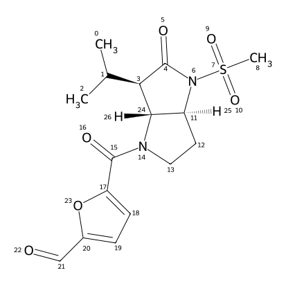 CC(C)[C@H]1C(=O)N(S(C)(=O)=O)[C@H]2CCN(C(=O)c3ccc(C=O)o3)[C@H]12